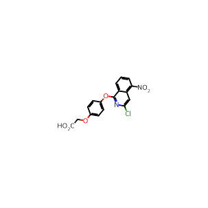 O=C(O)COc1ccc(Oc2nc(Cl)cc3c([N+](=O)[O-])cccc23)cc1